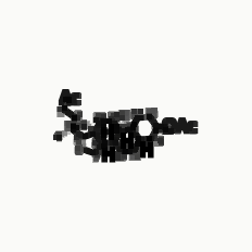 CC(=O)CC[C@@H](C)[C@H]1CC[C@H]2[C@@H]3CC[C@@H]4CC(OC(C)=O)CC[C@]4(C)[C@H]3CC[C@]12C